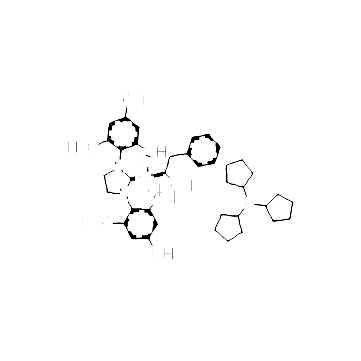 C1CCC(P(C2CCCC2)C2CCCC2)C1.C[C](Cc1ccccc1)=[Ru]([Cl])([Cl])=[C]1N(c2c(C)cc(C)cc2C)CCN1c1c(C)cc(C)cc1C